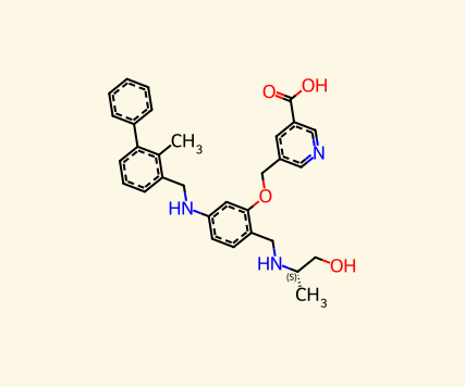 Cc1c(CNc2ccc(CN[C@@H](C)CO)c(OCc3cncc(C(=O)O)c3)c2)cccc1-c1ccccc1